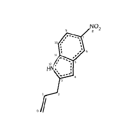 C=CCc1cc2cc([N+](=O)[O-])ccc2[nH]1